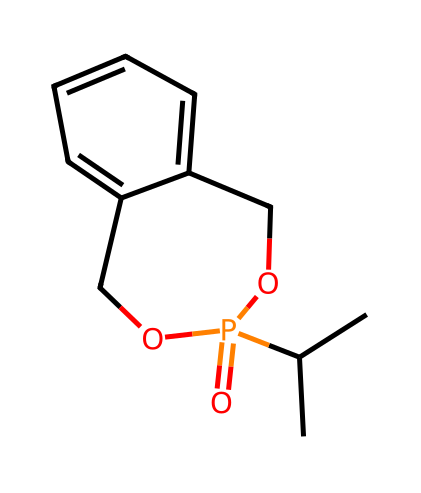 CC(C)P1(=O)OCc2ccccc2CO1